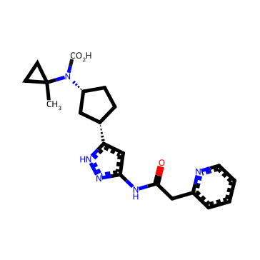 CC1(N(C(=O)O)[C@@H]2CC[C@H](c3cc(NC(=O)Cc4ccccn4)n[nH]3)C2)CC1